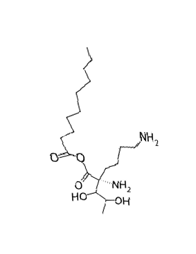 CCCCCCCCCC(=O)OC(=O)[C@@](N)(CCCCN)C(O)C(C)O